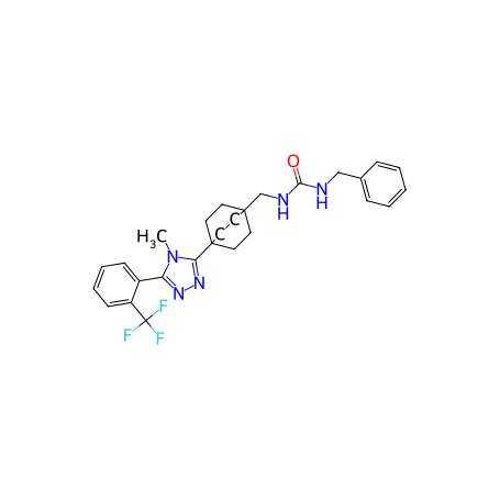 Cn1c(-c2ccccc2C(F)(F)F)nnc1C12CCC(CNC(=O)NCc3ccccc3)(CC1)CC2